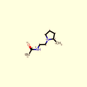 CC1CCCN1CCNC(=O)C(C)(C)C